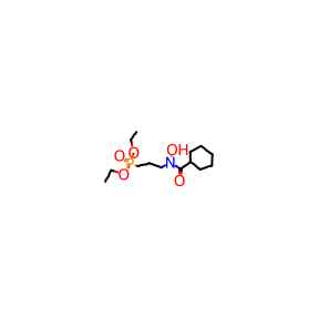 CCOP(=O)(CCCN(O)C(=O)C1CCCCC1)OCC